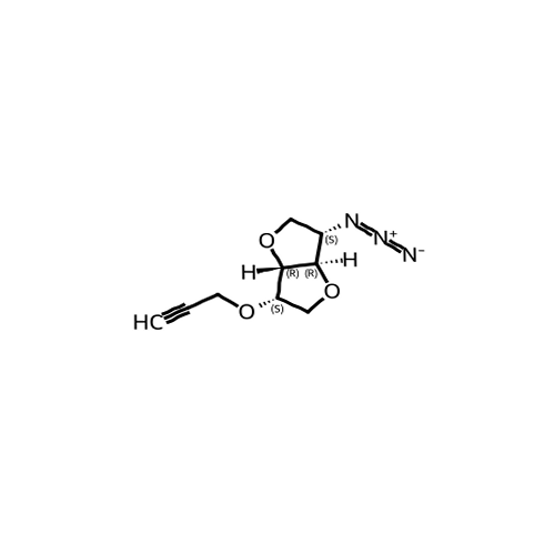 C#CCO[C@H]1CO[C@H]2[C@H]1OC[C@@H]2N=[N+]=[N-]